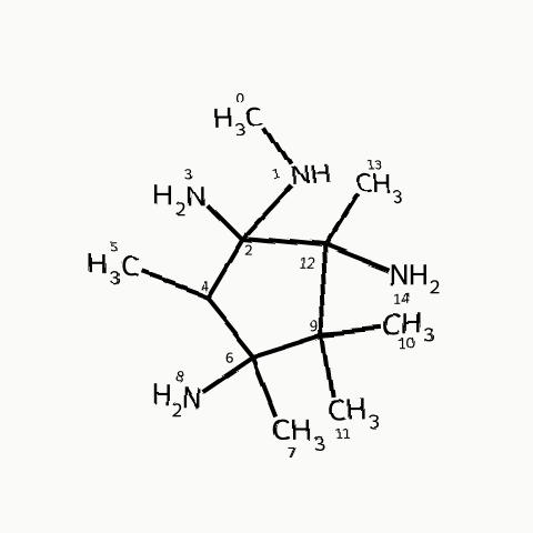 CNC1(N)C(C)C(C)(N)C(C)(C)C1(C)N